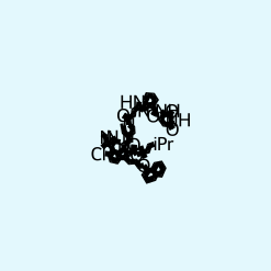 Cc1nn(C)c(C)c1-c1c(Cl)ccc2c(CCCOc3cccc4ccccc34)c(C(=O)OC(C)(C)CCC(C)C)n(CCN3CCN(C(=O)CCc4nc5c(C(=O)NC6CCC(=O)NC6=O)cccc5[nH]4)CC3)c12